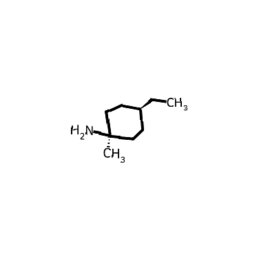 CC[C@H]1CC[C@@](C)(N)CC1